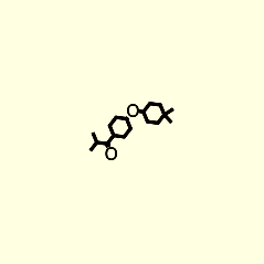 CC(C)C(=O)C1CCC(OC2CCC(C)(C)CC2)CC1